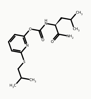 CC(C)CSc1cccc(OC(=O)N[C@@H](CC(C)C)C(N)=O)n1